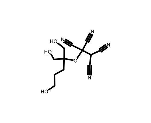 N#CC(C#N)C(C#N)(C#N)OC(CO)(CO)CCCO